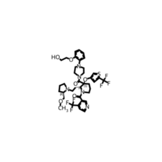 COC[C@H]1CCCN1CC[C@H]1N(C(=O)c2cnccc2C(F)(F)F)CCC[C@@]1(Oc1csc(C(F)(F)F)c1)C(=O)N1CCN(c2ccccc2OCCO)CC1